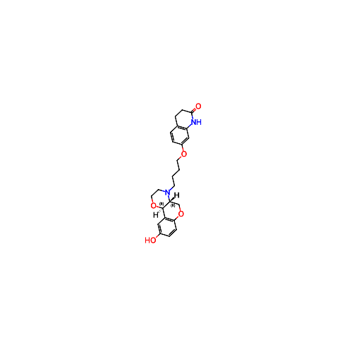 O=C1CCc2ccc(OCCCCN3CCO[C@@H]4c5cc(O)ccc5OC[C@H]43)cc2N1